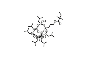 CCC(C)(C)C(=O)OCCC[Si]12O[Si](O)(CC(C)C)O[Si]3(CC(C)C)O[Si]4(CC(C)C)O[SiH](CC(C)C)O[Si](CC(C)C)(O1)O[Si](CC(C)C)(O4)O[Si](CC(C)C)(O2)O3